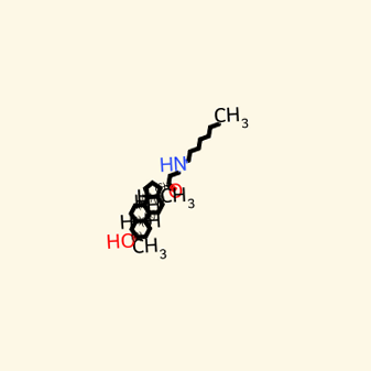 CCCCCCCCNCCC(=O)[C@H]1CC[C@H]2[C@@H]3CC[C@@H]4C[C@](C)(O)CC[C@@H]4[C@H]3CC[C@]12C